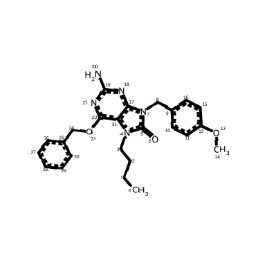 CCCCn1c(=O)n(Cc2ccc(OC)cc2)c2nc(N)nc(OCc3ccccc3)c21